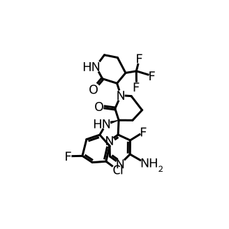 Nc1ncnc([C@@]2(Nc3cc(F)cc(Cl)c3)CCCN(C3C(=O)NCCC3C(F)(F)F)C2=O)c1F